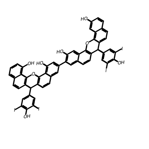 Oc1ccc2ccc3c(c2c1)Oc1c(ccc2cc(-c4cc(O)c5c6c(ccc5c4)C(c4cc(I)c(O)c(I)c4)c4ccc5cccc(O)c5c4O6)c(O)cc12)C3c1cc(I)c(O)c(I)c1